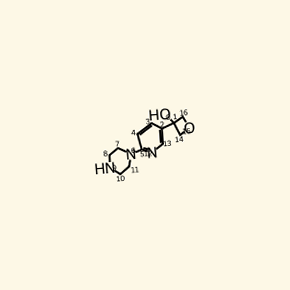 OC1(c2ccc(N3CCNCC3)nc2)COC1